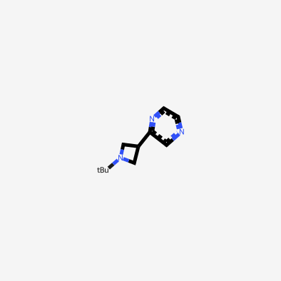 CC(C)(C)N1CC(c2cnccn2)C1